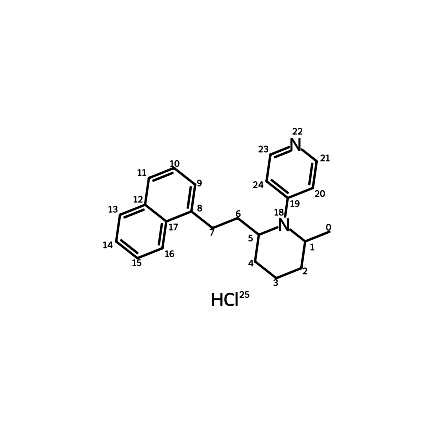 CC1CCCC(CCc2cccc3ccccc23)N1c1ccncc1.Cl